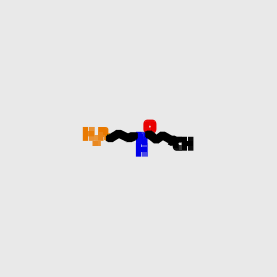 C#CCCC(=O)NC=CCCP